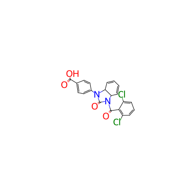 O=C(O)c1ccc(N2C(=O)N(C(=O)c3c(Cl)cccc3Cl)C3C=CC=CC32)cc1